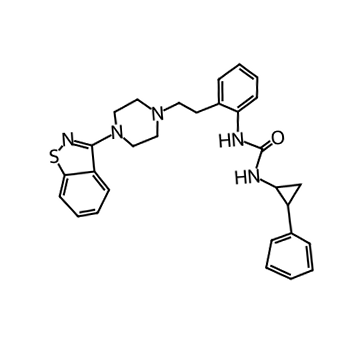 O=C(Nc1ccccc1CCN1CCN(c2nsc3ccccc23)CC1)NC1CC1c1ccccc1